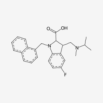 CC(C)N(C)CC1c2cc(F)ccc2N(Cc2cccc3ccccc23)C1C(=O)O